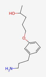 CC(O)CCCOc1cccc(CCCN)c1